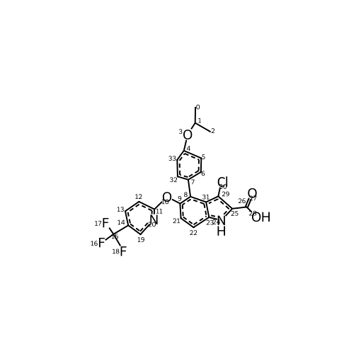 CC(C)Oc1ccc(-c2c(Oc3ccc(C(F)(F)F)cn3)ccc3[nH]c(C(=O)O)c(Cl)c23)cc1